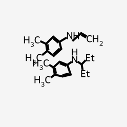 C=CCNc1ccc(C)c(C)c1.CCC(CC)Nc1ccc(C)c(C)c1